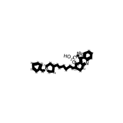 CC(C)(C)N(C(=O)O)c1c2c(nc3ccccc13)CCC(CCCCCCC1CCN(Cc3ccccc3)CC1)C2=O